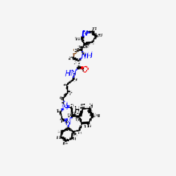 O=C(NCCCCN1CCN2c3ccccc3Cc3ccccc3[C@@H]2C1)[C@@H]1CSC(c2cccnc2)N1